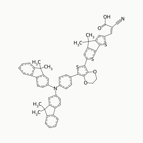 CC1(C)c2ccccc2-c2ccc(N(c3ccc(-c4sc(-c5cc6c(s5)-c5sc(/C=C(/C#N)C(=O)O)cc5C6(C)C)c5c4OCCO5)cc3)c3ccc4c(c3)C(C)(C)c3ccccc3-4)cc21